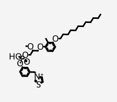 CCCCCCCCCCCCOc1cccc(OCC(COP(=O)(O)Oc2cccc(C[n+]3ccsc3)c2)OC)c1C